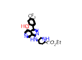 CCOC(=O)[C@@H]1CC[C@@H](Nc2nnc(-c3ccc(C(F)(F)F)cc3O)c3ccncc23)CN1